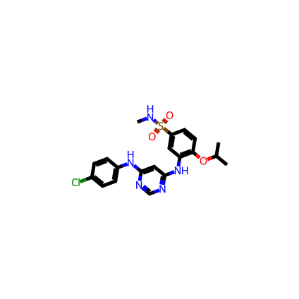 CNS(=O)(=O)c1ccc(OC(C)C)c(Nc2cc(Nc3ccc(Cl)cc3)ncn2)c1